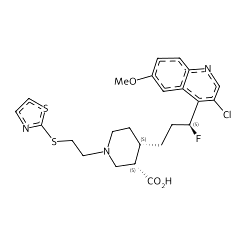 COc1ccc2ncc(Cl)c([C@@H](F)CC[C@H]3CCN(CCSc4nccs4)C[C@H]3C(=O)O)c2c1